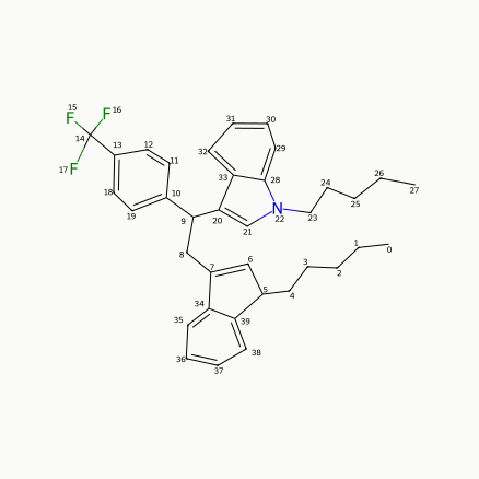 CCCCCC1C=C(CC(c2ccc(C(F)(F)F)cc2)c2cn(CCCCC)c3ccccc23)c2ccccc21